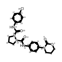 O=C1OCCCN1c1ccc(NC(=O)N2CCCN2C(=O)Nc2ccc(Cl)cc2)cc1